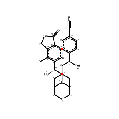 Cc1c([C@@H](O)CN2C3COCC2CN(CC(O)c2ccc(C#N)cn2)C3)ccc2c1COC2=O